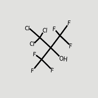 OC(C(F)(F)F)(C(F)(F)F)C(Cl)(Cl)Cl